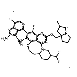 C[C@H]1CN2CCCC2(COc2nc3c4c(c(Cl)c(-c5ccc(F)c6sc(N)c(C#N)c56)c(F)c4n2)OCCC2CCC(C(F)F)CN32)C1